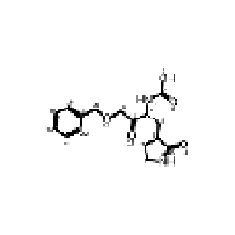 O=C(O)N[C@@H](C[C@@H]1CCNC1=O)C(=O)COCc1ccccc1